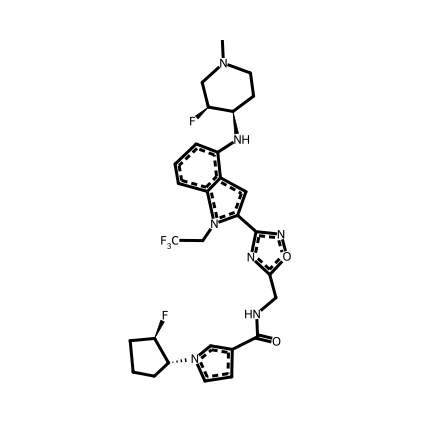 CN1CC[C@@H](Nc2cccc3c2cc(-c2noc(CNC(=O)c4ccn([C@@H]5CCC[C@H]5F)c4)n2)n3CC(F)(F)F)[C@@H](F)C1